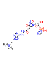 CN(C)CCCCn1cnc2c(NCCNC(=O)/C=C/c3cn(C4CC(O)C(COP(=O)(O)n5ccnc5)O4)c(=O)[nH]c3=O)ncnc21